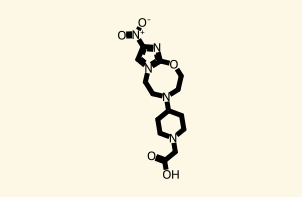 O=C(O)CN1CCC(N2CCOc3nc([N+](=O)[O-])cn3CC2)CC1